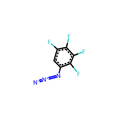 [N-]=[N+]=Nc1cc(F)c(F)c(F)c1F